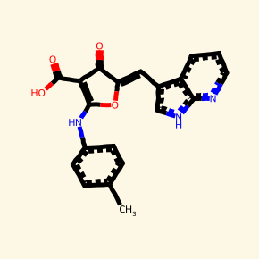 Cc1ccc(NC2=C(C(=O)O)C(=O)C(=Cc3c[nH]c4ncccc34)O2)cc1